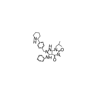 CC(C)CN1C(=O)N(C)C(=O)C2C(Nc3ccccc3)N(Cc3ccc(C4CCCCN4)cc3)NC21